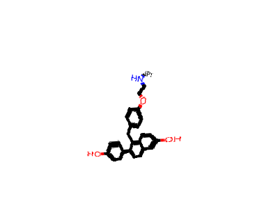 CC(C)NCCOc1ccc(Cc2c(-c3ccc(O)cc3)ccc3cc(O)ccc23)cc1